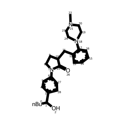 CCCCC(O)c1ccc(N2CCC(Cc3ccccc3N3CCN(C)CC3)C2=O)cc1